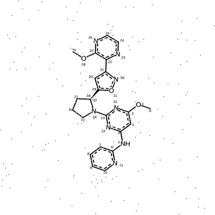 COc1cc(Nc2ccccn2)nc(N2CCC[C@H]2c2cc(-c3nccnc3OC)no2)n1